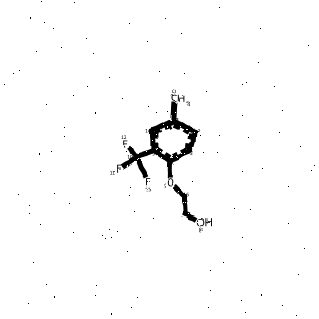 Cc1ccc(OCCO)c(C(F)(F)F)c1